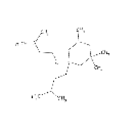 CC(C)CCC1(OCCN(C)C)CC(C)CC(C)(C)C1